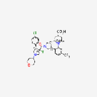 COC[C@H]1CN(C(=O)[C@]2(F)CN(C3CCOCC3)C[C@H]2c2ccc(Cl)cc2)C[C@@H]1c1ccc(C(F)(F)F)cc1N1CCC(C(=O)O)CC1